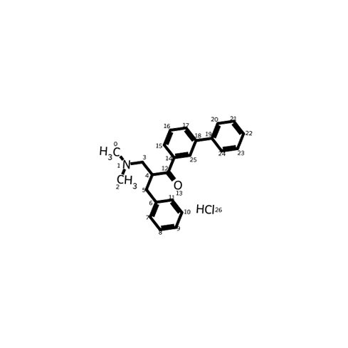 CN(C)CC(Cc1ccccc1)C(=O)c1cccc(-c2ccccc2)c1.Cl